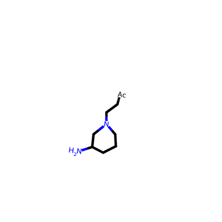 CC(=O)CCN1CCCC(N)C1